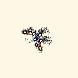 Cc1cc2c3c(c1)N(c1cccc4c1oc1ccccc14)c1ccc(C(C)(C)C)cc1B3c1ccc(C(C)(C)C)cc1N2c1ccc(-c2cccc3c2oc2ccccc23)cc1